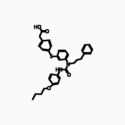 CCCCOc1ccc(NC(=O)N(CCCc2ccccc2)c2cccc(Sc3ccc(CC(=O)O)cc3)c2)cc1